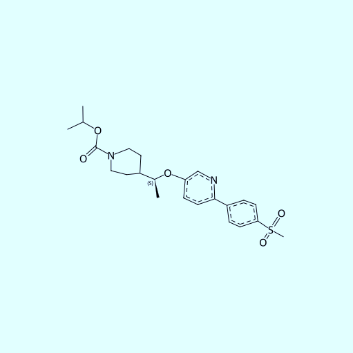 CC(C)OC(=O)N1CCC([C@H](C)Oc2ccc(-c3ccc(S(C)(=O)=O)cc3)nc2)CC1